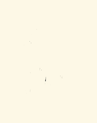 CC(C)(C)[C@H](c1cc(-c2cc(F)ccc2F)cn1Cc1ccccc1)N(CCCN1C(=O)c2ccccc2C1=O)C(=O)CCC(=O)O